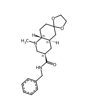 CN1C[C@H](C(=O)NCc2ccccc2)C[C@@H]2CC3(CC[C@H]21)OCCO3